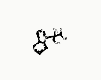 CC(C)(C(=O)O)n1ncc2cnccc21